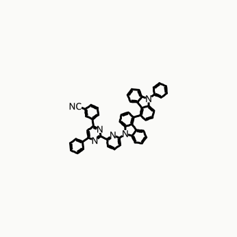 N#Cc1cccc(-c2cc(-c3ccccc3)nc(-c3cccc(-n4c5ccccc5c5c(-c6cccc7c6c6ccccc6n7-c6ccccc6)cccc54)n3)n2)c1